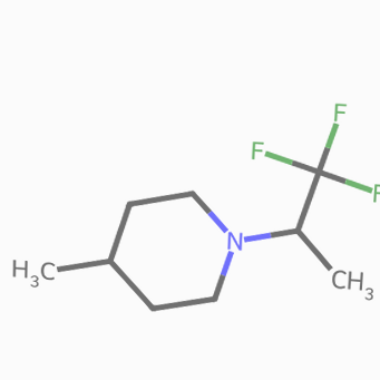 CC1CCN(C(C)C(F)(F)F)CC1